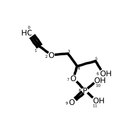 C#COCC(CO)OP(=O)(O)O